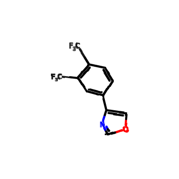 FC(F)(F)c1ccc(-c2co[c]n2)cc1C(F)(F)F